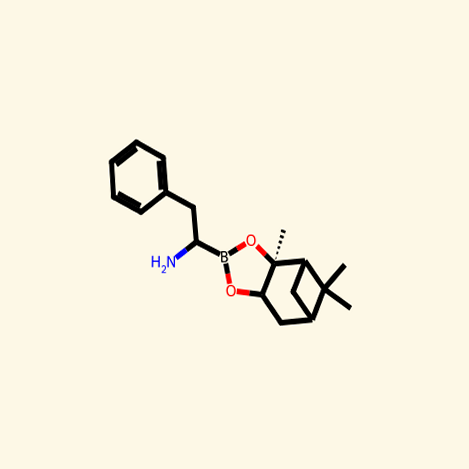 CC1(C)C2CC3OB(C(N)Cc4ccccc4)O[C@@]3(C)C1C2